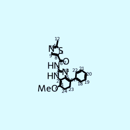 COC1=c2[nH]c(NC(=O)c3cnc(C)s3)nc2=C(c2ccccc2)CC1